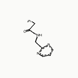 CC(C)CC(=O)NCc1ncccn1